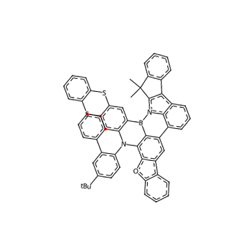 CC(C)(C)c1ccc(N2c3cc4c(cc3B3c5c(cc6c(oc7ccccc76)c52)-c2cccc5c6c(n3c25)C(C)(C)c2ccccc2-6)Sc2ccccc2S4)c(-c2ccccc2)c1